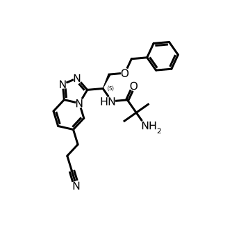 CC(C)(N)C(=O)N[C@H](COCc1ccccc1)c1nnc2ccc(CCC#N)cn12